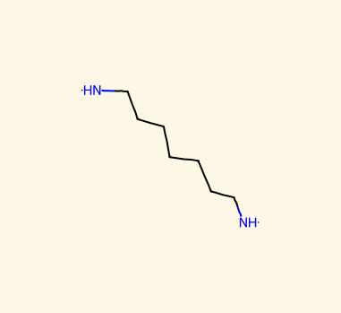 [NH]CCCCCCC[NH]